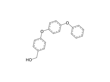 OCc1ccc(Oc2ccc(Oc3ccccc3)cc2)cc1